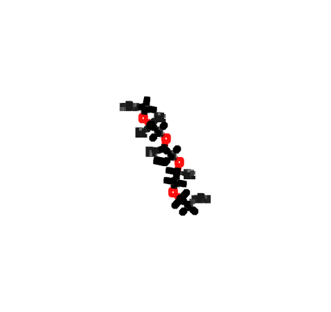 C=C[Si](C)(O[C@@](C)(CC)[Si](C)(C)OC(C)(C)[Si](C)(C)CCCC)C(CC)O[Si](C)(C)C(CC)(CC)O[Si](C)(C)CCCC